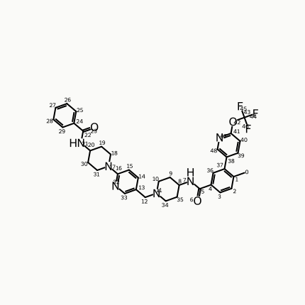 Cc1ccc(C(=O)NC2CCN(Cc3ccc(N4CCC(NC(=O)c5ccccc5)CC4)nc3)CC2)cc1-c1ccc(OC(F)(F)F)nc1